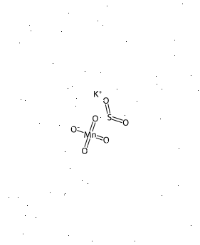 O=S=O.[K+].[O]=[Mn](=[O])(=[O])[O-]